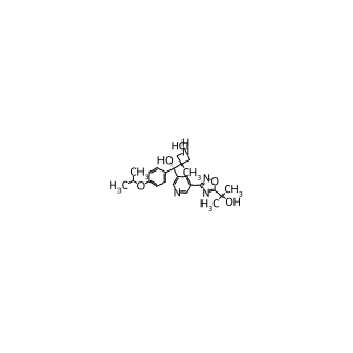 CC(C)Oc1ccc([C@](O)(c2cncc(-c3noc(C(C)(C)O)n3)c2)C2(C)CNC2)cc1.Cl